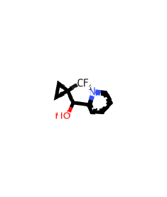 OC(c1ccccn1)C1(C(F)(F)F)CC1